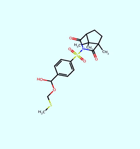 CSCOC(O)c1ccc(S(=O)(=O)N2C(=O)C3CCC(C)(C2=O)C3(C)C)cc1